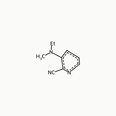 CCN(C)c1cccnc1C#N